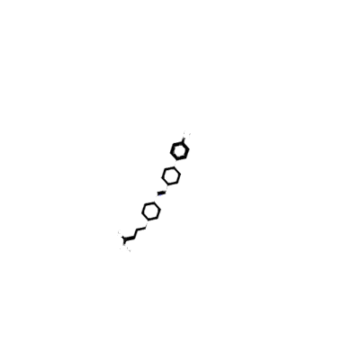 CCc1ccc([C@H]2CC[C@H](/C=C/[C@H]3CC[C@H](CCC=C(F)C#N)CC3)CC2)cc1